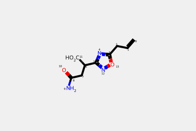 C=CCc1nc(C(CC(N)=O)C(=O)O)no1